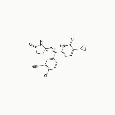 N#Cc1cc(/C(=C\[C@H]2CCC(=O)N2)c2ccc(C3CC3)c(=O)[nH]2)ccc1Cl